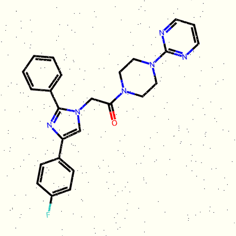 O=C(Cn1cc(-c2ccc(F)cc2)nc1-c1ccccc1)N1CCN(c2ncccn2)CC1